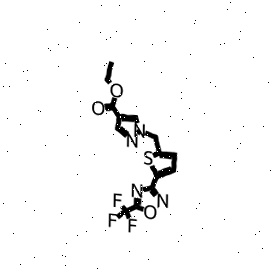 CCOC(=O)c1cnn(Cc2ccc(-c3noc(C(F)(F)F)n3)s2)c1